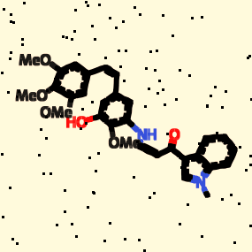 COc1cc(/C=C\c2cc(O)c(OC)c(N/C=C\C(=O)c3cn(C)c4ccccc34)c2)cc(OC)c1OC